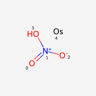 O=[N+]([O-])O.[Os]